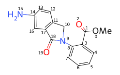 COC(=O)c1ccccc1N1Cc2ccc(N)cc2C1=O